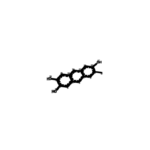 Cc1cc2cc3cc(O)c(O)cc3cc2cc1O